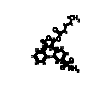 CCCCC(=O)Oc1onc(-c2ccccc2)c1-c1ccc(S(N)(=O)=O)cc1